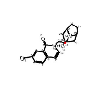 O=c1c2cc(Cl)ccc2ccn1CCN1C2CCC1CC(O)C2